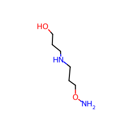 NOCCCNCCCO